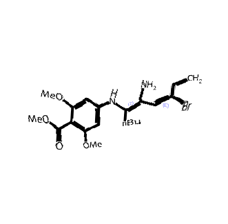 C=C/C(Br)=C\C(N)=C(/CCCC)Nc1cc(OC)c(C(=O)OC)c(OC)c1